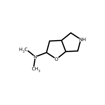 CN(C)[C]1CC2CNCC2O1